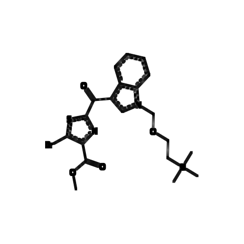 COC(=O)c1nc(C(=O)c2cn(COCC[Si](C)(C)C)c3ccccc23)sc1Br